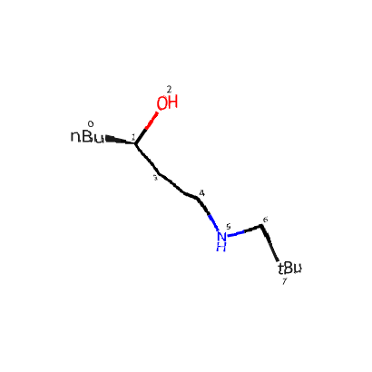 CCCC[C@@H](O)CCNCC(C)(C)C